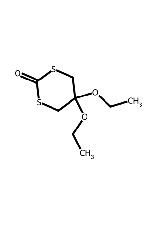 CCOC1(OCC)CSC(=O)SC1